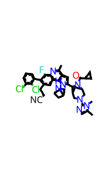 Cc1nc2c(F)c(-c3cccc(Cl)c3Cl)c(CCC#N)cc2c2c1cc(C1C3CC(CN(c4ncc(C)n4C)C3)N1C(=O)C1CC1)n2C1C2CNC1C2